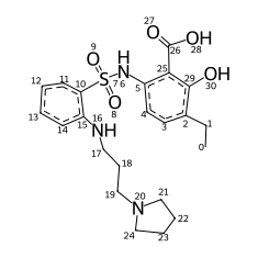 CCc1ccc(NS(=O)(=O)c2ccccc2NCCCN2CCCC2)c(C(=O)O)c1O